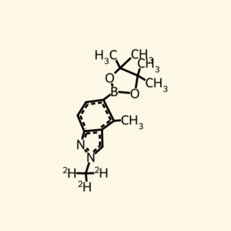 [2H]C([2H])([2H])n1cc2c(C)c(B3OC(C)(C)C(C)(C)O3)ccc2n1